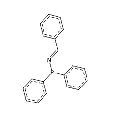 C(=NP(c1ccccc1)c1ccccc1)c1ccccc1